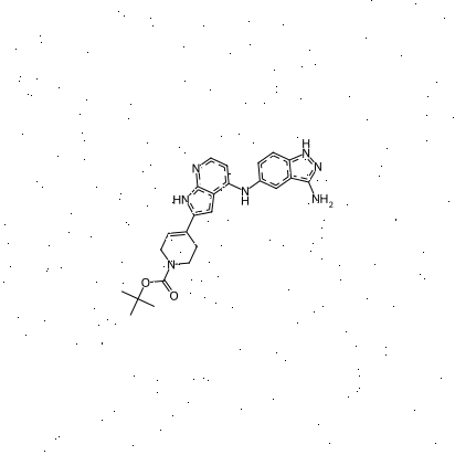 CC(C)(C)OC(=O)N1CC=C(c2cc3c(Nc4ccc5[nH]nc(N)c5c4)ccnc3[nH]2)CC1